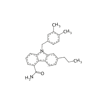 CCCc1c[c]c2c3c(C(N)=O)cccc3n(Cc3ccc(C)c(C)c3)c2c1